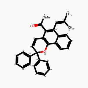 COC(=O)c1c2c(c3ccccc3c1C=C(C)C)OC(c1ccccc1)(c1ccccc1)C=C2